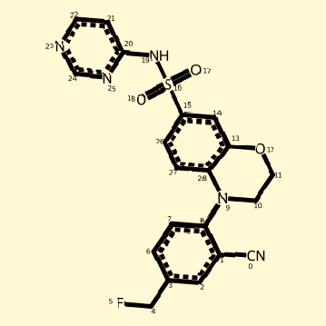 N#Cc1cc(CF)ccc1N1CCOc2cc(S(=O)(=O)Nc3ccncn3)ccc21